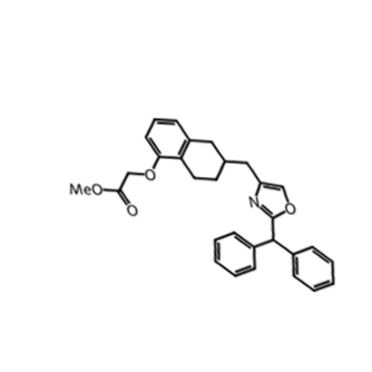 COC(=O)COc1cccc2c1CCC(Cc1coc(C(c3ccccc3)c3ccccc3)n1)C2